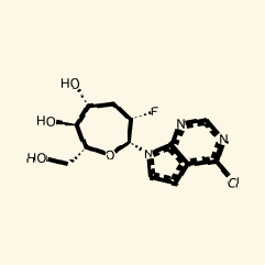 OC[C@H]1O[C@@H](n2ccc3c(Cl)ncnc32)[C@@H](F)C[C@@H](O)[C@@H]1O